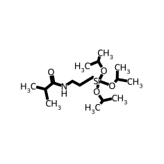 CC(C)O[Si](CCCNC(=O)C(C)C)(OC(C)C)OC(C)C